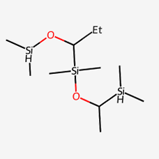 CCC(O[SiH](C)C)[Si](C)(C)OC(C)[SiH](C)C